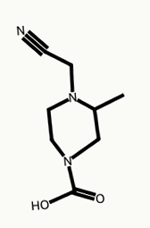 CC1CN(C(=O)O)CCN1CC#N